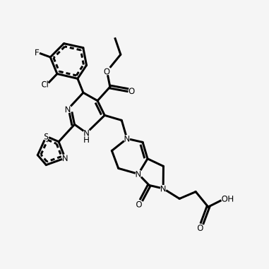 CCOC(=O)C1=C(CN2C=C3CN(CCC(=O)O)C(=O)N3CC2)NC(c2nccs2)=NC1c1cccc(F)c1Cl